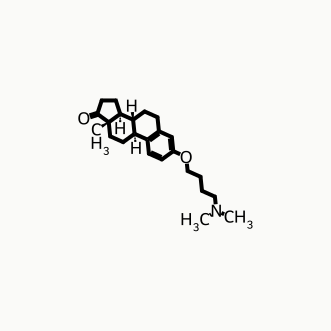 CN(C)CCCCOc1ccc2c(c1)CC[C@@H]1[C@@H]2CC[C@]2(C)C(=O)CC[C@@H]12